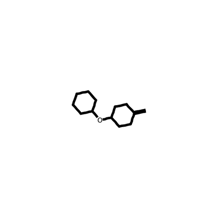 C=C1CCC(OC2CCCCC2)CC1